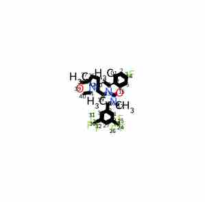 Cc1cc(F)ccc1[C@@H]1C[C@@]2(CCN1C(=O)N(C)[C@H](C)c1cc(C(F)(F)F)cc(C(F)(F)F)c1)CC[C@]1(C)COCCN12